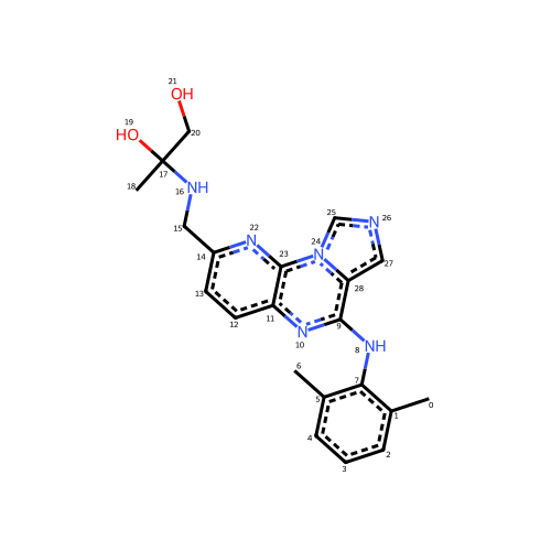 Cc1cccc(C)c1Nc1nc2ccc(CNC(C)(O)CO)nc2n2cncc12